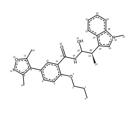 CCCOc1ccc(-c2c(C)noc2C)cc1C(=O)NC(O)[C@H](C)c1cn(C)c2ccccc12